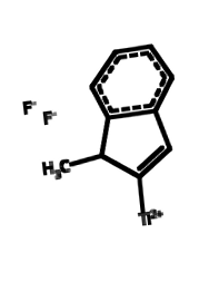 CC1[C]([Ti+2])=Cc2ccccc21.[F-].[F-]